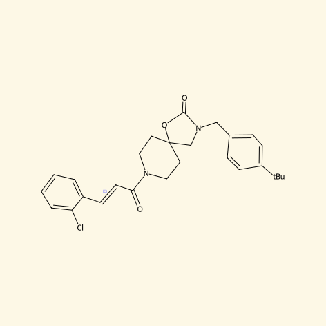 CC(C)(C)c1ccc(CN2CC3(CCN(C(=O)/C=C/c4ccccc4Cl)CC3)OC2=O)cc1